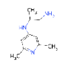 Cc1cc(NC(C)CN)cc(C)n1